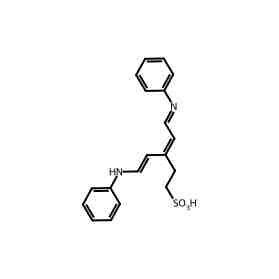 O=S(=O)(O)CCC(=CC=Nc1ccccc1)/C=C/Nc1ccccc1